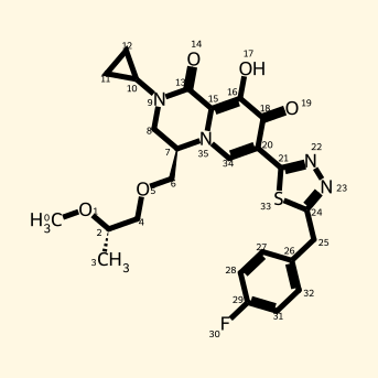 CO[C@@H](C)COC[C@H]1CN(C2CC2)C(=O)c2c(O)c(=O)c(-c3nnc(Cc4ccc(F)cc4)s3)cn21